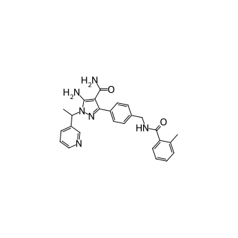 Cc1ccccc1C(=O)NCc1ccc(-c2nn(C(C)c3cccnc3)c(N)c2C(N)=O)cc1